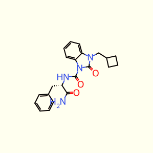 NC(=O)[C@H](Cc1ccccc1)NC(=O)n1c(=O)n(CC2CCC2)c2ccccc21